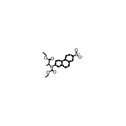 CCOC(=O)C(C)N(C(=O)OCC)c1ccc2c(ccc3cc([N+](=O)[O-])ccc32)c1